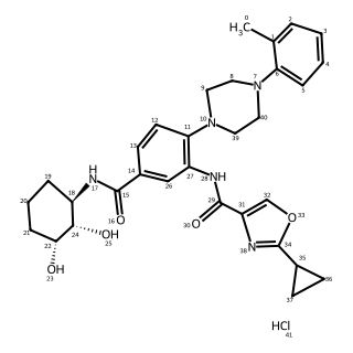 Cc1ccccc1N1CCN(c2ccc(C(=O)N[C@@H]3CCC[C@@H](O)[C@H]3O)cc2NC(=O)c2coc(C3CC3)n2)CC1.Cl